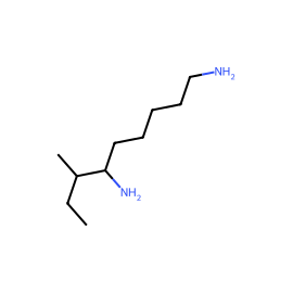 CCC(C)C(N)CCCCCN